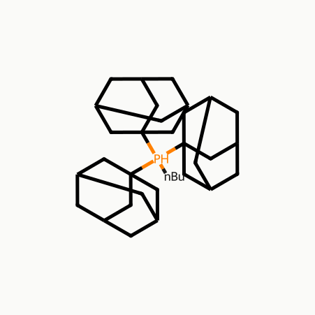 CCCC[PH](C12CC3CC(CC(C3)C1)C2)(C12CC3CC(CC(C3)C1)C2)C12CC3CC(CC(C3)C1)C2